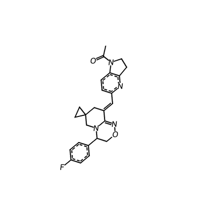 CC(=O)N1CCc2nc(/C=C3\CC4(CC4)CN4C3=NOCC4c3ccc(F)cc3)ccc21